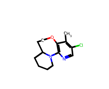 Cc1c(Cl)cnc2c1OCCC1CCCCN21